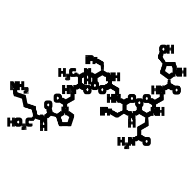 CC(C)C[C@H](NC(=O)CNC(=O)[C@H](CC(C)C)NC(=O)[C@H](CCC(N)=O)NC(=O)CNC(=O)[C@@H]1C[C@@H](CO)CN1)C(=O)N[C@@H](C)C(=O)NCC(=O)N1CCC[C@H]1C(=O)N[C@@H](CCCCN)C(=O)O